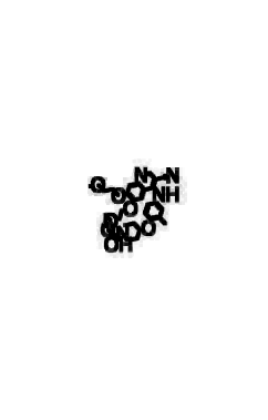 COCCOc1cc2ncc(C#N)c(Nc3ccc(OC4CCN(C(=O)O)CC4)c(C)c3)c2cc1OCCOC